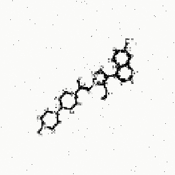 C=Nc1c(-c2ccnc3cc(C(F)(F)F)ccc23)cnn1/C=C(\C)N1CCC(N2CCN(C)CC2)CC1